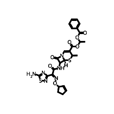 CC(OC(=O)C1=CN2C(=O)C(NC(=O)C(=NOC3C=CCC3)c3nsc(N)n3)[C@H]2SC1C)OC(=O)c1ccccc1